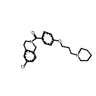 O=C(c1ccc(OCCCN2CCCCC2)cc1)N1CCc2cc(Cl)ccc2C1